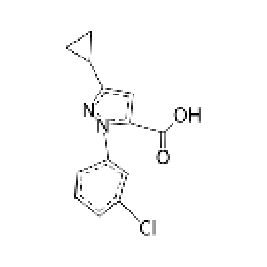 O=C(O)c1cc(C2CC2)nn1-c1cccc(Cl)c1